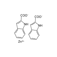 O=C([O-])c1cc2ccccc2[nH]1.O=C([O-])c1cc2ccccc2[nH]1.[Zn+2]